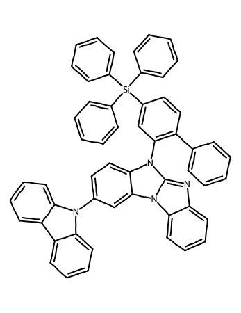 c1ccc(-c2ccc([Si](c3ccccc3)(c3ccccc3)c3ccccc3)cc2-n2c3ccc(-n4c5ccccc5c5ccccc54)cc3n3c4ccccc4nc23)cc1